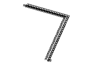 O.O.O.O.O.O.O.O.O.O.O.O.O.O.O.O.O.O.O.O.O.O.O.O.O.O.O.O.O.O.O.O.O.O.O.O.O.O.O.O.O.O.O.O.O.O.O.O.O.O.[Ag]